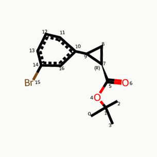 CC(C)(C)OC(=O)[C@@H]1CC1c1cccc(Br)c1